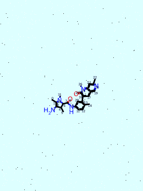 CC1=C(N)C(C)C(C(=O)Nc2ccc(C)c(-c3cc4cnc(C)cc4n(C)c3=O)c2)N1C